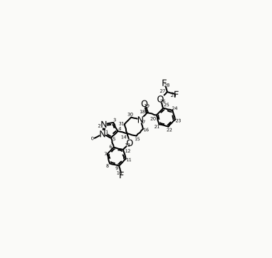 Cn1ncc2c1-c1ccc(F)cc1OC21CCN(C(=O)c2ccccc2OC(F)F)CC1